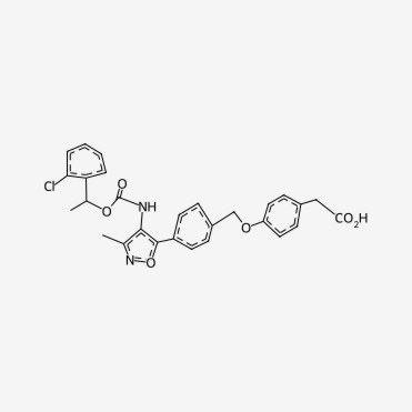 Cc1noc(-c2ccc(COc3ccc(CC(=O)O)cc3)cc2)c1NC(=O)OC(C)c1ccccc1Cl